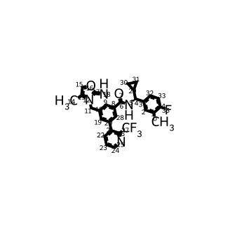 Cc1cc([C@@H](NC(=O)c2cc(Cn3c(C)coc3=N)cc(-c3cccnc3C(F)(F)F)c2)C2CC2)ccc1F